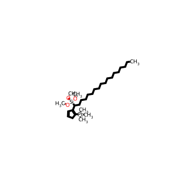 CCCCCCCCCCCCCCCCCC(C1=[C]([Pt]([CH3])([CH3])[CH3])CC=C1)[Si](OC)(OC)OC